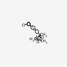 CN(c1nn(C)c(=O)n(C)c1=O)C1CCC(N2CCN(c3cccc(Cl)c3)CC2)CC1